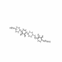 CCCCCc1ccc(OCC2CCC(c3ccc(C4CCC(CCC)CC4)c(F)c3F)CC2)c(F)c1F